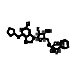 O=C(O)C(Cc1ccccc1)(OC[C@H]1O[C@@H](n2cnc3c(SC4CCCC4)nc(Cl)nc32)[C@@H](F)[C@@H]1O)C(=O)O